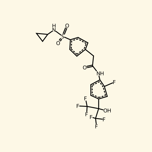 O=C(Cc1ccc(S(=O)(=O)NC2CC2)cc1)Nc1ccc(C(O)(C(F)(F)F)C(F)(F)F)cc1F